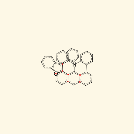 c1ccc(-c2ccccc2N(c2ccccc2-c2ccccc2)c2ccccc2-c2oc3ccccc3c2-c2ccccc2)cc1